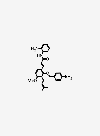 Bc1ccc(COc2c(/C=C/C(=O)Nc3ccccc3N)ccc(OC)c2CC=C(C)C)cc1